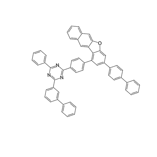 c1ccc(-c2ccc(-c3cc(-c4ccc(-c5nc(-c6ccccc6)nc(-c6cccc(-c7ccccc7)c6)n5)cc4)c4c(c3)oc3cc5ccccc5cc34)cc2)cc1